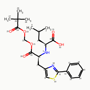 CC(C)C[C@H](N[C@@H](Cc1csc(-c2ccccc2)n1)C(=O)OCOC(=O)C(C)(C)C)C(=O)O